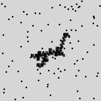 CCCCCCCCCCC(C)NC(=O)CCNCCN(CCNCCN)CCC(=O)NC